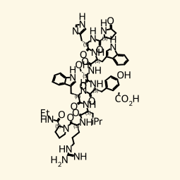 CC(=O)O.CCNC(=O)[C@@H]1CCCN1C(=O)[C@H](CCCNC(=N)N)NC(=O)[C@H](CC(C)C)NC(=O)[C@@H](Cc1c[nH]c2ccccc12)NC(=O)[C@H](Cc1ccc(O)cc1)NC(=O)[C@H](CO)NC(=O)[C@H](Cc1c[nH]c2ccccc12)NC(=O)[C@H](Cc1c[nH]cn1)NC(=O)[C@@H]1CCC(=O)N1